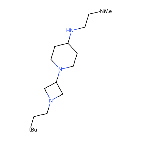 CNCCNC1CCN(C2CN(CCC(C)(C)C)C2)CC1